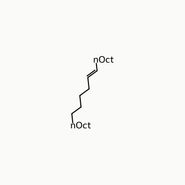 [CH2]CCCCCCCC=CCCCCCCCCCCCC